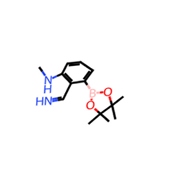 CNc1cccc(B2OC(C)(C)C(C)(C)O2)c1C=N